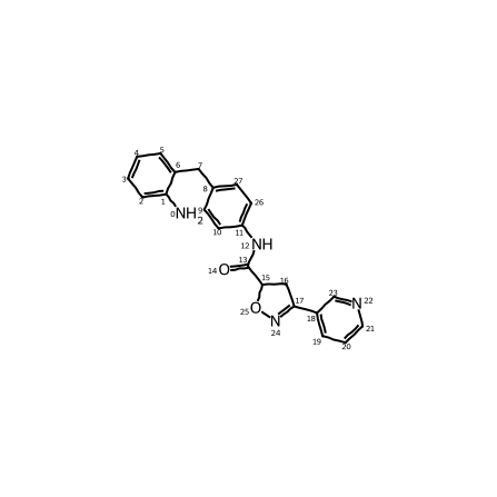 Nc1ccccc1Cc1ccc(NC(=O)C2CC(c3cccnc3)=NO2)cc1